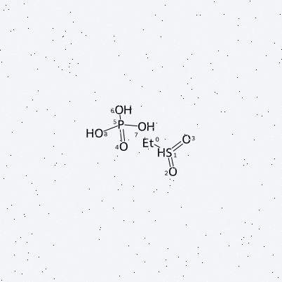 CC[SH](=O)=O.O=P(O)(O)O